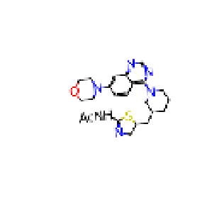 CC(=O)NC1=NCC(CC2CCCN(c3ncnc4cc(N5CCOCC5)ccc34)C2)S1